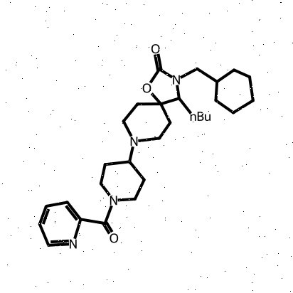 CCCCC1N(CC2CCCCC2)C(=O)OC12CCN(C1CCN(C(=O)c3ccccn3)CC1)CC2